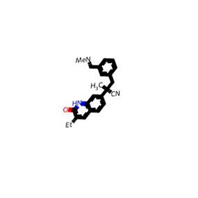 CCc1cc2ccc(C(C)(C#N)Cc3cccc(CNC)c3)cc2[nH]c1=O